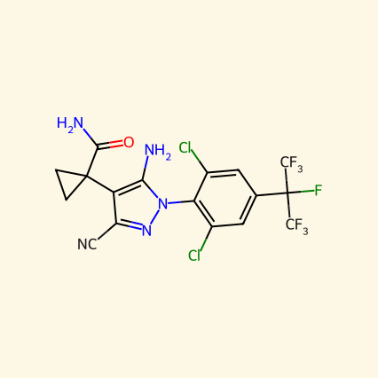 N#Cc1nn(-c2c(Cl)cc(C(F)(C(F)(F)F)C(F)(F)F)cc2Cl)c(N)c1C1(C(N)=O)CC1